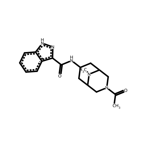 CC(=O)N1CC2CC(NC(=O)c3n[nH]c4ccccc34)CC(C1)N2C